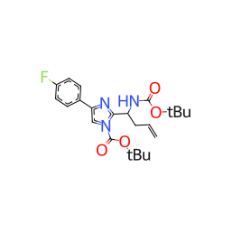 C=CCC(NC(=O)OC(C)(C)C)c1nc(-c2ccc(F)cc2)cn1C(=O)OC(C)(C)C